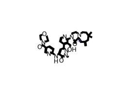 C=C1/C=C2/C(=O)N(c3nccc(-c4cc(Nc5ccc(C(=O)N6CCOCC6)cn5)c(=O)n(C)n4)c3CO)CCN2CCC(C)(C)C1